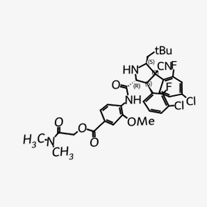 COc1cc(C(=O)OCC(=O)N(C)C)ccc1NC(=O)[C@@H]1N[C@@H](CC(C)(C)C)[C@](C#N)(c2ccc(Cl)cc2F)[C@H]1c1cccc(Cl)c1F